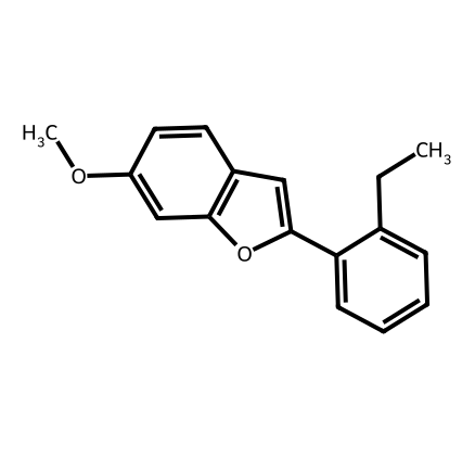 CCc1ccccc1-c1cc2ccc(OC)cc2o1